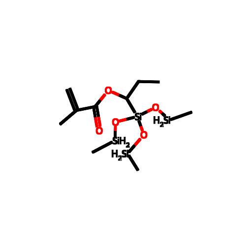 C=C(C)C(=O)OC(CC)[Si](O[SiH2]C)(O[SiH2]C)O[SiH2]C